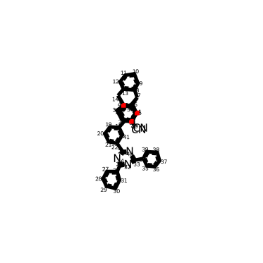 N#Cc1ccc2c(c1)C1c3ccccc3C2c2cc(-c3cccc(-c4nc(-c5ccccc5)nc(-c5ccccc5)n4)c3)c(C#N)cc21